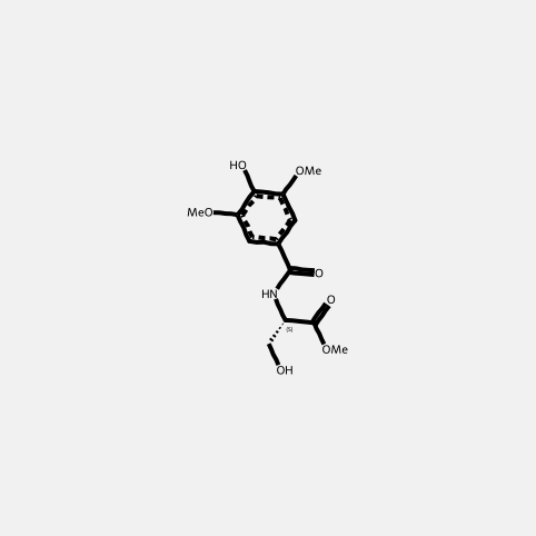 COC(=O)[C@H](CO)NC(=O)c1cc(OC)c(O)c(OC)c1